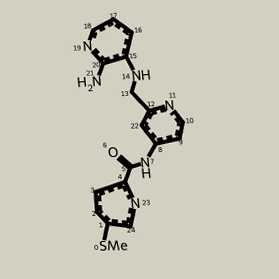 CSc1ccc(C(=O)Nc2ccnc(CNc3cccnc3N)c2)nc1